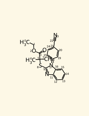 CCOC(=O)C(C)(C)Sc1nc2ccccc2n1-c1ccc(C#N)cc1